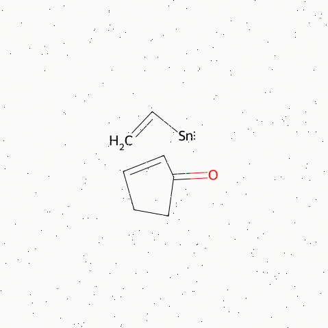 C=[CH][Sn].O=C1C=CCC1